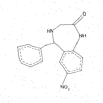 O=C1CNC(c2ccccc2)c2cc([N+](=O)[O-])ccc2N1